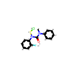 CN(C(=O)N(SCl)c1ccccc1F)c1ccccc1